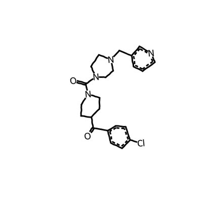 O=C(c1ccc(Cl)cc1)C1CCN(C(=O)N2CCN(Cc3cccnc3)CC2)CC1